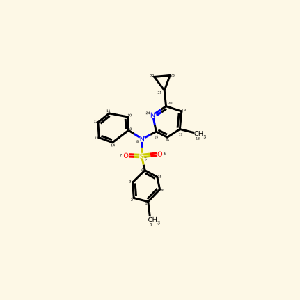 Cc1ccc(S(=O)(=O)N(c2ccccc2)c2cc(C)cc(C3CC3)n2)cc1